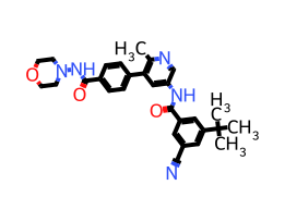 Cc1ncc(NC(=O)c2cc(C#N)cc(C(C)(C)C)c2)cc1-c1ccc(C(=O)NN2CCOCC2)cc1